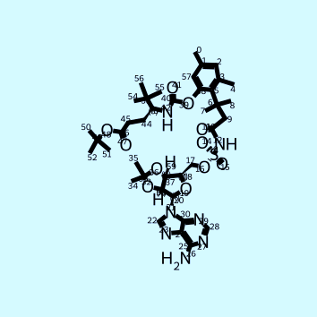 Cc1cc(C)c(C(C)(C)CC(=O)NS(=O)(=O)OC[C@H]2O[C@@H](n3cnc4c(N)ncnc43)[C@@H]3OC(C)(C)O[C@@H]32)c(OC(=O)N[C@@H](CCC(=O)OC(C)(C)C)C(C)(C)C)c1